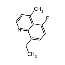 CCc1ccc(F)c2c(C)ccnc12